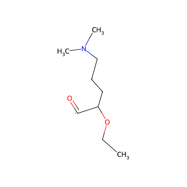 CCOC([C]=O)CCCN(C)C